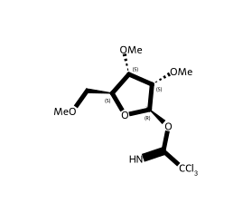 COC[C@@H]1O[C@H](OC(=N)C(Cl)(Cl)Cl)[C@@H](OC)[C@H]1OC